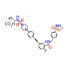 CC(C)C(NS(=O)(=O)N1CCN(c2ccc(C#Cc3ccc(F)c(C(=O)NCc4ccc(S(N)(=O)=O)cc4)c3)cc2)CC1)C(=O)O